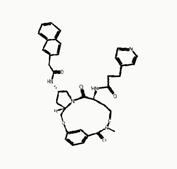 CN1CCC[C@H](NC(=O)CCc2ccncc2)C(=O)N2C[C@@H](NC(=O)Cc3ccc4ccccc4c3)C[C@H]2COc2cccc(c2)C1=O